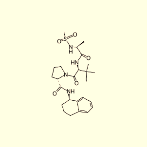 C[C@H](NS(C)(=O)=O)C(=O)N[C@H](C(=O)N1CCC[C@H]1C(=O)N[C@@H]1CCCc2ccccc21)C(C)(C)C